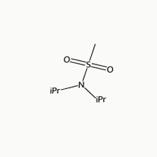 CC(C)N(C(C)C)S(C)(=O)=O